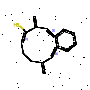 C=C1/C=c2/cccc/c2=C/C(=C)/C(S)=C\CC1